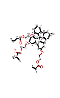 C=C(C)C(=O)OCCOc1ccc(C2(c3ccc(OCCOC(=O)C(=C)C)cc3)c3ccc(C)cc3-c3cccc(OCCOC(=O)C=CC)c32)cc1